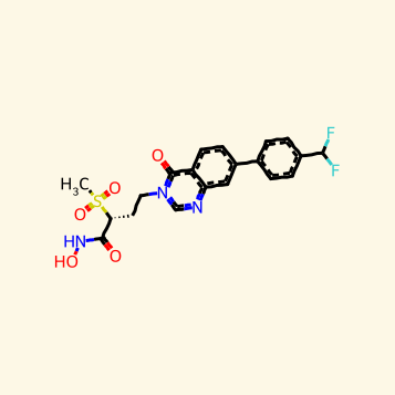 CS(=O)(=O)[C@H](CCn1cnc2cc(-c3ccc(C(F)F)cc3)ccc2c1=O)C(=O)NO